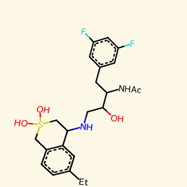 CCc1ccc2c(c1)C(NCC(O)C(Cc1cc(F)cc(F)c1)NC(C)=O)CS(O)(O)C2